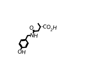 C[C@@H](CC(=O)NCc1ccc(O)cc1)C(=O)O